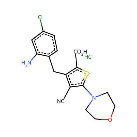 Cl.N#Cc1c(N2CCOCC2)sc(C(=O)O)c1Cc1ccc(Cl)cc1N